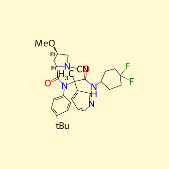 CO[C@@H]1C[C@H](C(=O)N(c2ccc(C(C)(C)C)cc2)C(C)(C(=O)NC2CCC(F)(F)CC2)c2cccnc2)N(C#N)C1